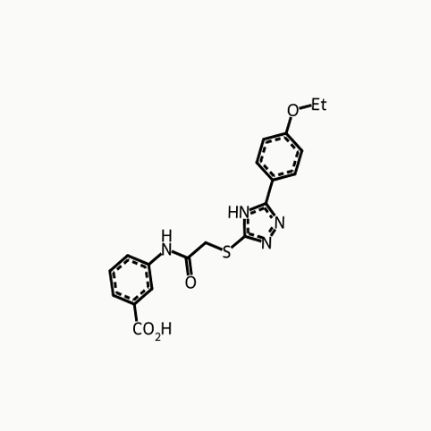 CCOc1ccc(-c2nnc(SCC(=O)Nc3cccc(C(=O)O)c3)[nH]2)cc1